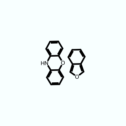 c1ccc2c(c1)Nc1ccccc1O2.c1ccc2cocc2c1